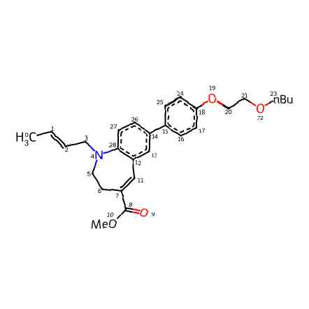 CC=CCN1CCC(C(=O)OC)=Cc2cc(-c3ccc(OCCOCCCC)cc3)ccc21